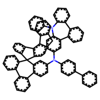 c1ccc(-c2ccc(N(c3ccc4c(c3)-c3ccccc3-c3ccccc3N4c3ccccc3)c3ccc4c(c3)C3(c5ccccc5-c5ccccc5-4)c4ccccc4-c4c3ccc3c4-c4ccccc4C3)cc2)cc1